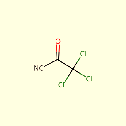 N#CC(=O)C(Cl)(Cl)Cl